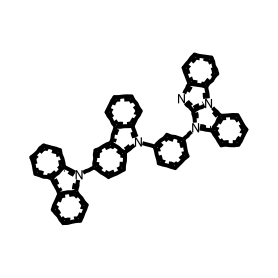 c1cc(-n2c3ccccc3c3cc(-n4c5ccccc5c5ccccc54)ccc32)cc(-n2c3ccccc3n3c4ccccc4nc23)c1